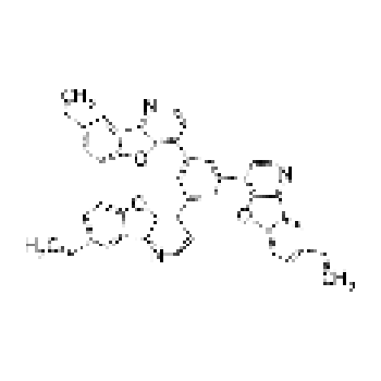 C=Cc1ccc2oc3c(-c4cc(-c5ccnc6c5oc5ccc(C=C)cc56)cc(-c5ccnc6c5oc5ccc(C=C)cc56)c4)ccnc3c2c1